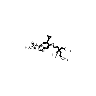 C=CCC(CC)(CC)CCOc1cc2nnc(NS(C)(=O)=O)n2cc1C1CC1